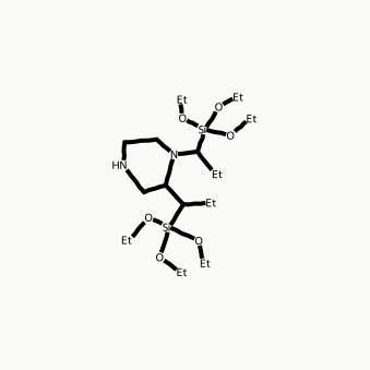 CCO[Si](OCC)(OCC)C(CC)C1CNCCN1C(CC)[Si](OCC)(OCC)OCC